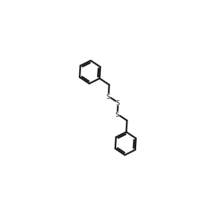 c1ccc(CSSSCc2ccccc2)cc1